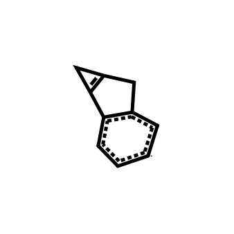 [c]1ccc2c(c1)CC1=C2C1